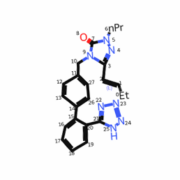 CC/C=C/c1nn(CCC)c(=O)n1Cc1ccc(-c2ccccc2-c2nnn[nH]2)cc1